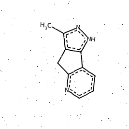 Cc1n[nH]c2c1Cc1ncccc1-2